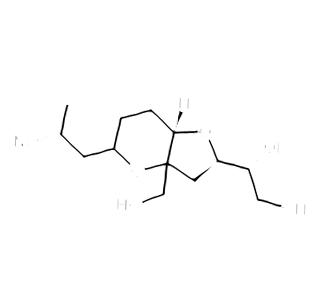 C[C@@H](C#N)CC1CC[C@@H]2O[C@@H]([C@H](O)CO)CC2(CO)O1